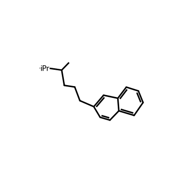 C[C](C)C(C)CCCc1ccc2ccccc2c1